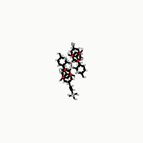 Cc1cc(C)c(N(c2nc(C)ccc2S(=O)(=O)c2ccc(Br)cc2)N(c2nc(C)ccc2S(=O)(=O)c2ccc(C#C[Si](C)(C)C)cc2)c2c(C)cc(C)cc2C)c(C)c1